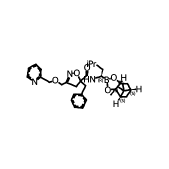 CC(C)C[C@H](NC(=O)C1(Cc2ccccc2)CC(COCc2ccccn2)=NO1)B1O[C@@H]2C[C@@H]3C[C@@H](C3(C)C)[C@]2(C)O1